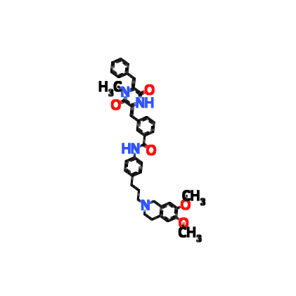 COc1cc2c(cc1OC)CN(CCCc1ccc(NC(=O)c3cccc(C=c4[nH]c(=O)c(=Cc5ccccc5)n(C)c4=O)c3)cc1)CC2